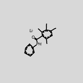 Cc1cc(C)c(C(=O)Pc2ccccc2)c(C)c1C.[Li]